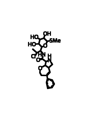 CSC1OC(C(NC(=O)C2NCC3C=C(c4ccccc4)CCOC32)C(C)Cl)C(O)C(O)C1O